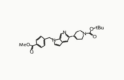 COC(=O)c1ccc(Cn2ccc3cc(C4=CCN(C(=O)OC(C)(C)C)CC4)ncc32)cc1